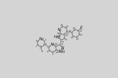 Cc1ccncc1-c1ccc2[nH]nc(-c3cc4c(-c5cccc(F)c5)ccnc4[nH]3)c2n1